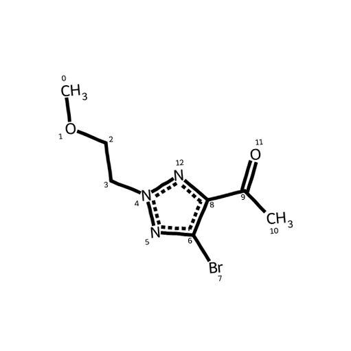 COCCn1nc(Br)c(C(C)=O)n1